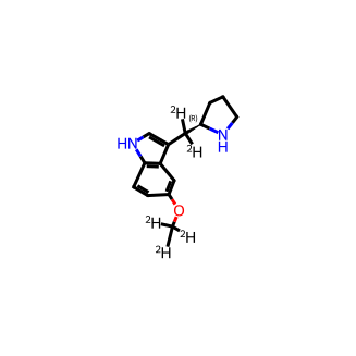 [2H]C([2H])([2H])Oc1ccc2[nH]cc(C([2H])([2H])[C@H]3CCCN3)c2c1